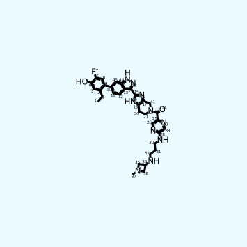 CCc1cc(O)c(F)cc1-c1ccc2c(-c3nc4c([nH]3)CCN(C(=O)c3cnc(NCCCNC5CN(C)C5)cn3)C4)n[nH]c2c1